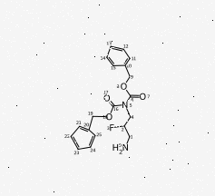 NCC(F)CN(C(=O)OCc1ccccc1)C(=O)OCc1ccccc1